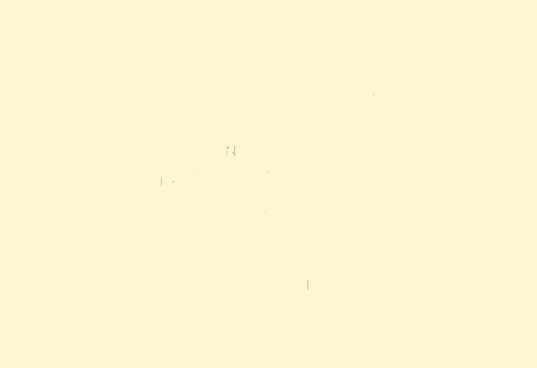 Cc1cc2c(cc1C(F)(F)F)N(C(=O)O)CCCC2=O